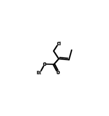 CC=C(CCl)C(=O)OCC